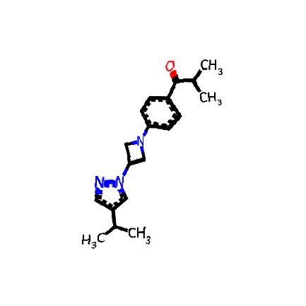 CC(C)C(=O)c1ccc(N2CC(n3cc(C(C)C)cn3)C2)cc1